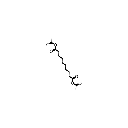 CC(=O)OC(=O)CCCCCCCCC(=O)OC(C)=O